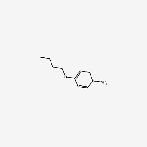 CCCCOC1=CCC(N)C=C1